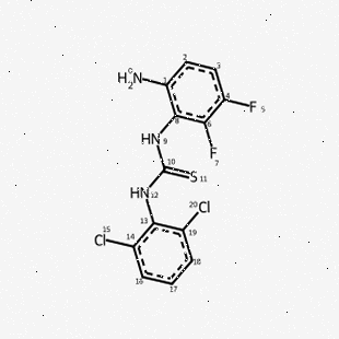 Nc1ccc(F)c(F)c1NC(=S)Nc1c(Cl)cccc1Cl